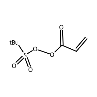 C=CC(=O)OOS(=O)(=O)C(C)(C)C